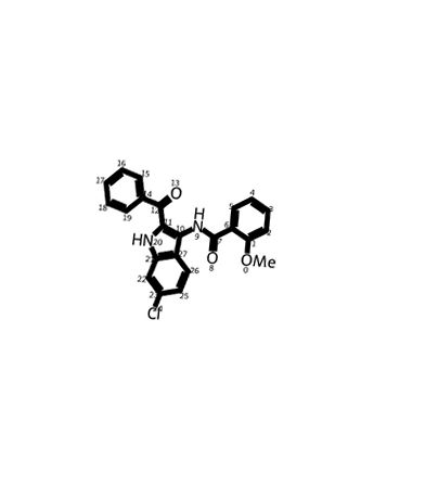 COc1ccccc1C(=O)Nc1c(C(=O)c2ccccc2)[nH]c2cc(Cl)ccc12